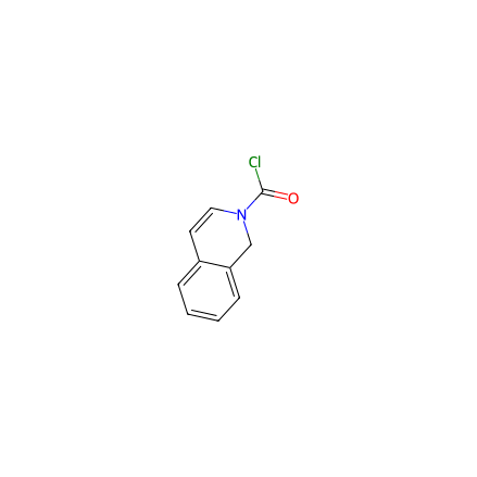 O=C(Cl)N1C=Cc2ccccc2C1